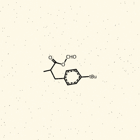 CC(Cc1ccc(C(C)(C)C)cc1)C(=O)OC=O